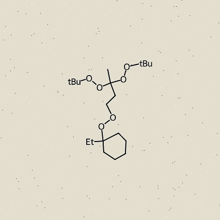 CCC1(OOCCC(C)(OOC(C)(C)C)OOC(C)(C)C)CCCCC1